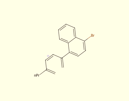 C=C(/C=C\C(=C)c1ccc(Br)c2ccccc12)CCC